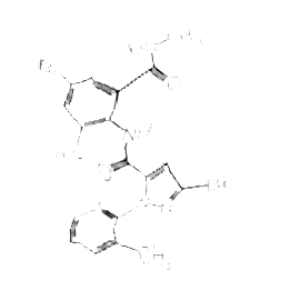 CNC(=O)c1cc(Br)cc(C)c1NC(=O)c1cc(Br)nn1-c1ncccc1C